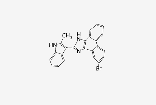 Cc1[nH]c2ccccc2c1-c1nc2c3cc(Br)ccc3c3ccccc3c2[nH]1